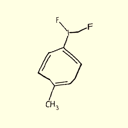 Cc1ccc(I(F)F)cc1